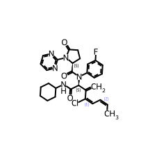 C=C(/C(Cl)=C\C=C/C)[C@@H](C(=O)NC1CCCCC1)N(C(=O)[C@@H]1CCC(=O)N1c1ncccn1)c1cccc(F)c1